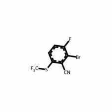 N#Cc1c(SC(F)(F)F)ccc(F)c1Br